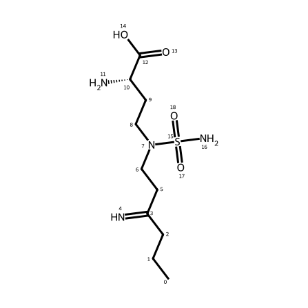 CCCC(=N)CCN(CC[C@H](N)C(=O)O)S(N)(=O)=O